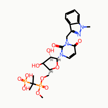 COP(=O)(OC[C@H]1O[C@@H](n2ccc(=O)n(Cc3nn(C)c4ccccc34)c2=O)[C@@H](O)C1O)C(C)(C)P(=O)(O)O